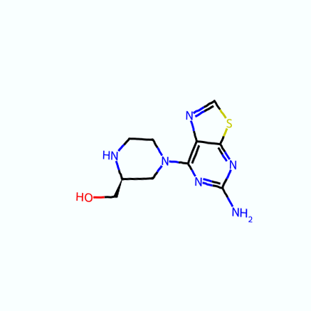 Nc1nc(N2CCN[C@H](CO)C2)c2ncsc2n1